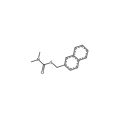 CN(C)C(=O)SCc1ccc2ccccc2c1